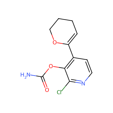 NC(=O)Oc1c(C2=CCCCO2)ccnc1Cl